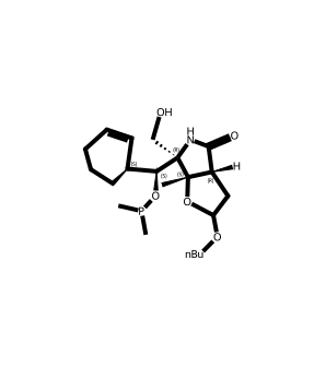 CCCCOC1C[C@H]2C(=O)N[C@](CO)([C@@H](OP(C)C)[C@@H]3C=CCCC3)[C@@]2(C)O1